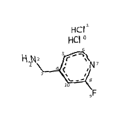 Cl.Cl.NCc1ccnc(F)c1